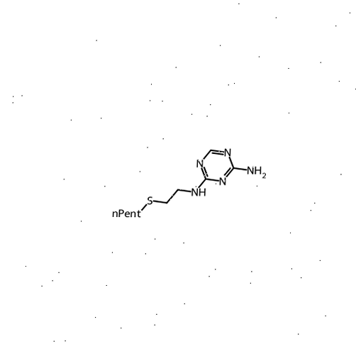 CCCCCSCCNc1ncnc(N)n1